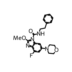 COc1nc2c(F)cc(N3CCOCC3)cc2n1C(=O)NCCc1ccccc1